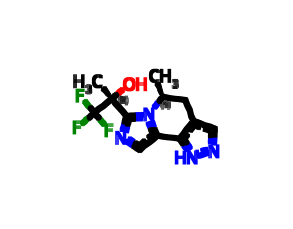 C[C@H]1Cc2cn[nH]c2-c2cnc([C@@](C)(O)C(F)(F)F)n21